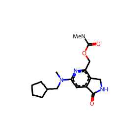 CNC(=O)OCc1nc(N(C)CC2CCCC2)cc2c1CNC2=O